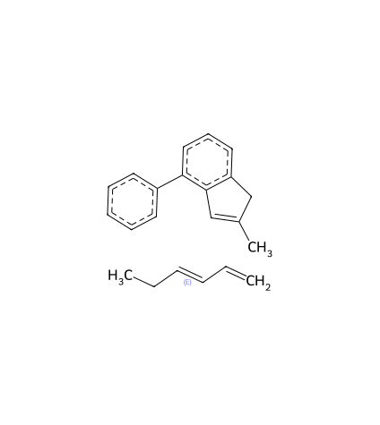 C=C/C=C/CC.CC1=Cc2c(cccc2-c2ccccc2)C1